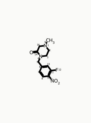 CN1CCN(Cc2ccc([N+](=O)[O-])c(F)c2)C(=O)C1